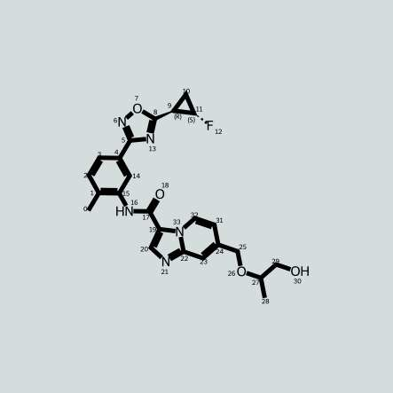 Cc1ccc(-c2noc([C@H]3C[C@@H]3F)n2)cc1NC(=O)c1cnc2cc(COC(C)CO)ccn12